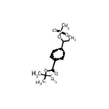 CCC(OS(C)(=O)=O)c1ccc(C(=O)OC(C)(C)C)cc1